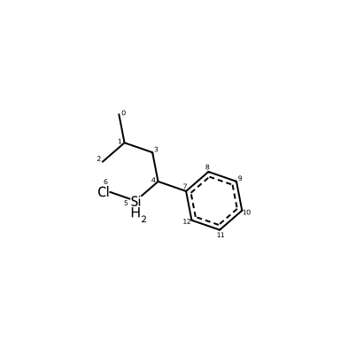 CC(C)CC([SiH2]Cl)c1ccccc1